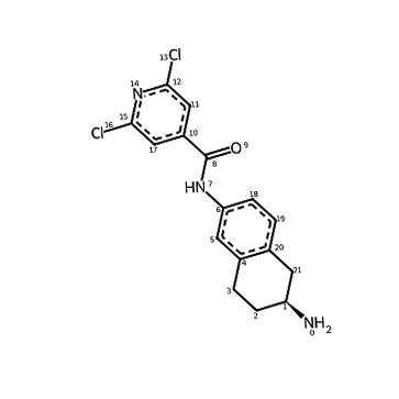 N[C@H]1CCc2cc(NC(=O)c3cc(Cl)nc(Cl)c3)ccc2C1